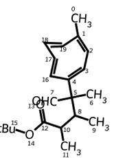 CC1=C/C=C(C(C)(C=O)C(C)C(C)C(=O)OC(C)(C)C)\C=C\C=C\1